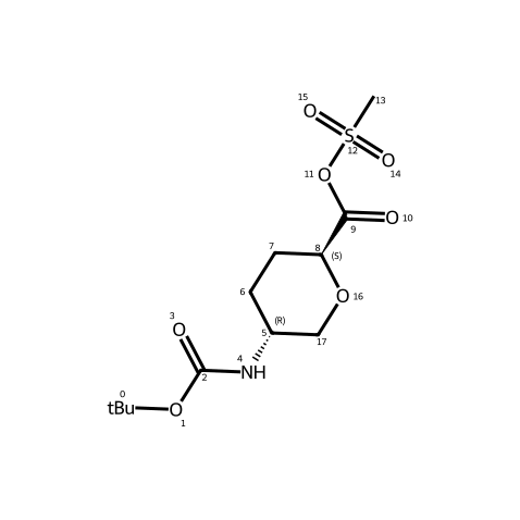 CC(C)(C)OC(=O)N[C@@H]1CC[C@@H](C(=O)OS(C)(=O)=O)OC1